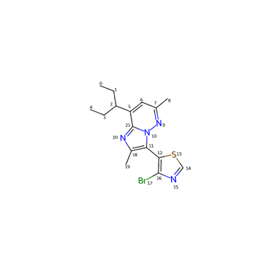 CCC(CC)c1cc(C)nn2c(-c3scnc3Br)c(C)nc12